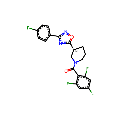 O=C(c1c(F)cc(F)cc1F)N1CCC[C@H](c2nc(-c3ccc(F)cc3)no2)C1